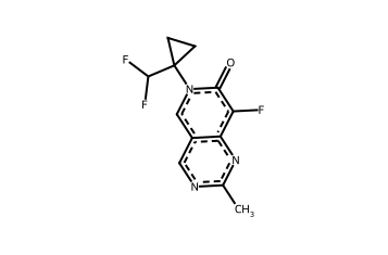 Cc1ncc2cn(C3(C(F)F)CC3)c(=O)c(F)c2n1